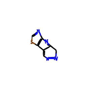 C1=C2C(=Nc3ncsc32)CN=N1